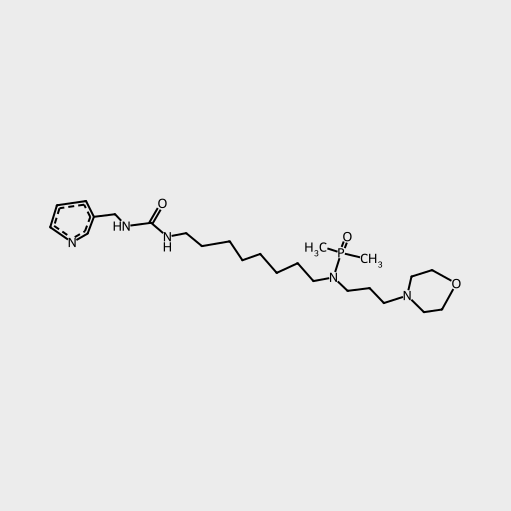 CP(C)(=O)N(CCCCCCCCNC(=O)NCc1cccnc1)CCCN1CCOCC1